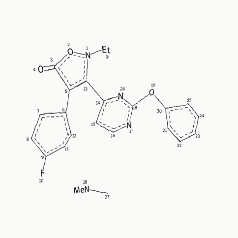 CCn1oc(=O)c(-c2ccc(F)cc2)c1-c1ccnc(Oc2ccccc2)n1.CNC